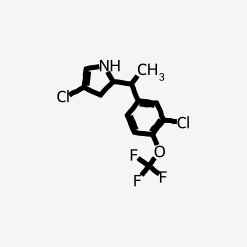 CC(c1ccc(OC(F)(F)F)c(Cl)c1)C1CC(Cl)=CN1